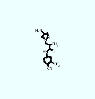 C[C@H](Cn1cc(N)cn1)C(=O)Nc1ccc(C#N)c(C(F)(F)F)c1